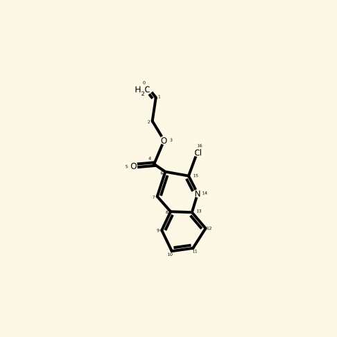 C=CCOC(=O)c1cc2ccccc2nc1Cl